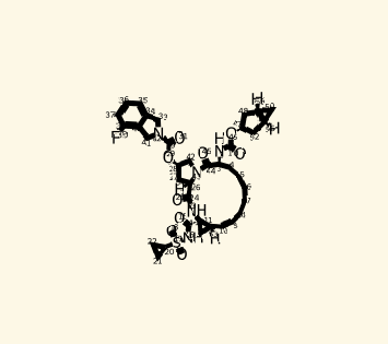 O=C(N[C@H]1CCCCC/C=C\[C@@H]2C[C@@]2(C(=O)NS(=O)(=O)C2CC2)NC(=O)[C@@H]2C[C@@H](OC(=O)N3Cc4cccc(F)c4C3)CN2C1=O)O[C@@H]1C[C@@H]2C[C@@H]2C1